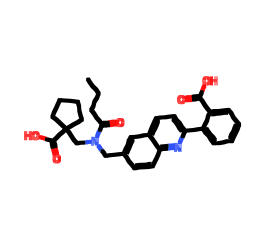 CCCC(=O)N(Cc1ccc2nc(-c3ccccc3C(=O)O)ccc2c1)CC1(C(=O)O)CCCC1